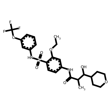 CCOc1cc(NC(=O)C(C)C(O)C2CCOCC2)ccc1S(=O)(=O)Nc1cccc(OC(F)(F)F)c1